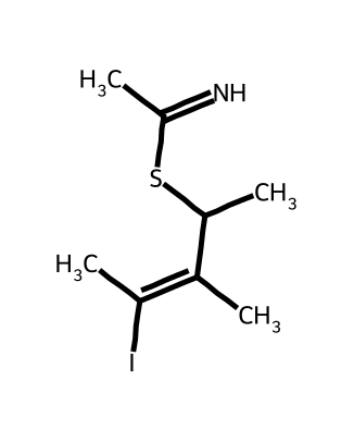 CC(=N)SC(C)/C(C)=C(\C)I